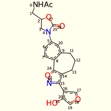 CC(=O)NCC1CN(c2ccc3c(c2)CCCc2c(-c4cocc4O)noc2-3)C(=O)O1